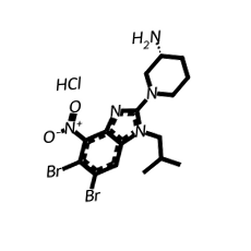 CC(C)Cn1c(N2CCC[C@@H](N)C2)nc2c([N+](=O)[O-])c(Br)c(Br)cc21.Cl